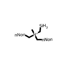 CCCCCCCCCC[N+](C)(C[SiH3])CCCCCCCCCC